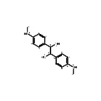 CNc1ccc(C(O)C(O)c2ccc(NC)cc2)cc1